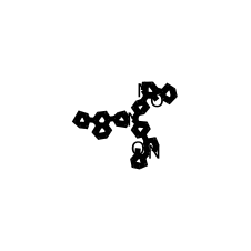 c1ccc(-c2ccc(-c3ccc(N(c4ccc(-c5nccc6c5oc5ccccc56)cc4)c4ccc(-c5ccnc6c5oc5ccccc56)cc4)cc3)c3ccccc23)cc1